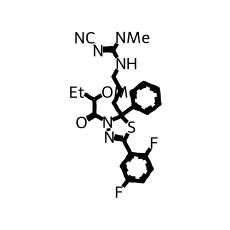 CCC(OC)C(=O)N1N=C(c2cc(F)ccc2F)SC1(CCCNC(=NC#N)NC)c1ccccc1